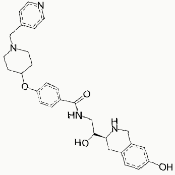 O=C(NCC(O)[C@@H]1Cc2ccc(O)cc2CN1)c1ccc(OC2CCN(Cc3ccncc3)CC2)cc1